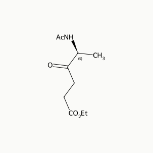 CCOC(=O)CCC(=O)[C@H](C)NC(C)=O